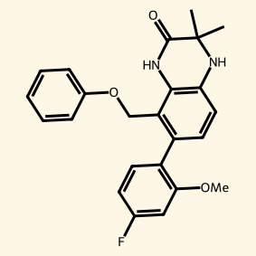 COc1cc(F)ccc1-c1ccc2c(c1COc1ccccc1)NC(=O)C(C)(C)N2